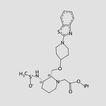 CC(C)OC(=O)CN1CCC[C@H](N[S+](C)[O-])[C@@H]1COC1CCN(c2nc3ccccc3s2)CC1